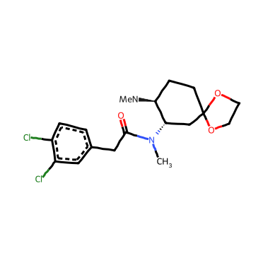 CN[C@H]1CCC2(C[C@@H]1N(C)C(=O)Cc1ccc(Cl)c(Cl)c1)OCCO2